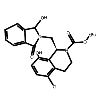 CC(C)(C)OC(=O)N1CCc2c(Cl)ccc(O)c2[C@H]1CN1C(=O)c2ccccc2C1O